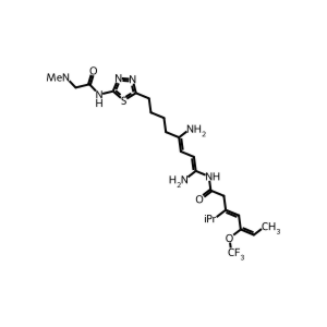 C/C=C(\C=C(\CC(=O)N/C(N)=C/C=C(\N)CCCCc1nnc(NC(=O)CNC)s1)C(C)C)OC(F)(F)F